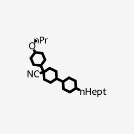 CCCCCCCC1CCC(C2CCC(C#N)(C3CCC(OCCC)CC3)CC2)CC1